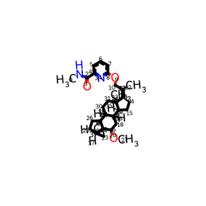 CNC(=O)c1cccc(OC[C@@H](C)[C@H]2CC[C@H]3[C@@H]4CC(OC)[C@]56C[C@H]5CC[C@]6(C)[C@H]4CC[C@]23C)n1